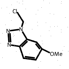 COc1ccc2nnn(CCl)c2c1